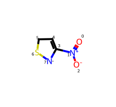 O=[N+]([O-])C1=CCS[N]1